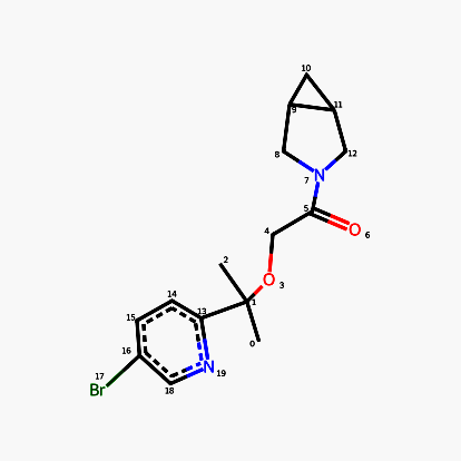 CC(C)(OCC(=O)N1CC2CC2C1)c1ccc(Br)cn1